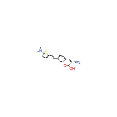 CN(C)c1ccc(/C=C/c2ccc(C=C(C#N)C(=O)O)cc2)s1